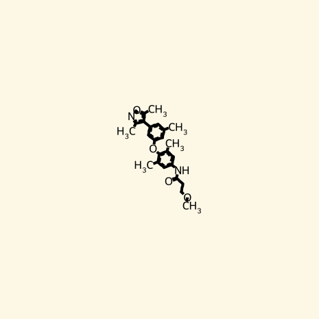 COCCC(=O)Nc1cc(C)c(Oc2cc(C)cc(-c3c(C)noc3C)c2)c(C)c1